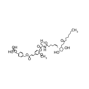 CCCCCCCC(=O)CC[C@@H]1[C@@H](C/C=C\CCCC(=O)NC(C)C(=O)Oc2ccc(/C=C/C(=O)OCc3ccc(CON(O)O)cc3)cc2OC)[C@@H](O)C[C@H]1O